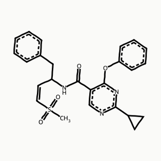 CS(=O)(=O)/C=C\C(Cc1ccccc1)NC(=O)c1cnc(C2CC2)nc1Oc1ccccc1